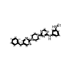 CCNc1cccc(Nc2ncnc(N3CCN(c4ncc(Cc5ccccc5)cn4)CC3)n2)c1